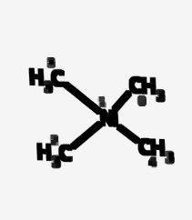 [CH3][Ni]([CH3])([CH3])[CH3]